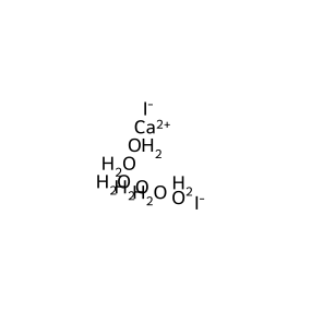 O.O.O.O.O.O.[Ca+2].[I-].[I-]